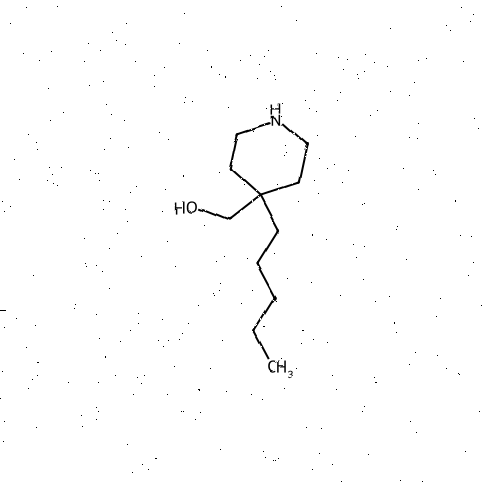 CCCCCC1(CO)CCNCC1